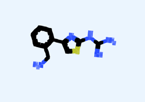 N=C(N)Nc1nc(-c2ccccc2CN)cs1